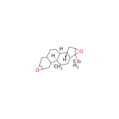 C[C@]12CC3OC3CC1CC[C@@H]1[C@H]2CC[C@@]2(C)[C@H]1CC1OC12Br